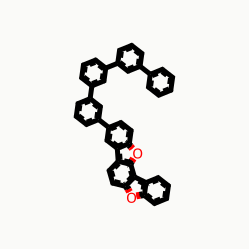 c1ccc(-c2cccc(-c3cccc(-c4cccc(-c5ccc6oc7c(ccc8oc9ccccc9c87)c6c5)c4)c3)c2)cc1